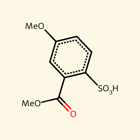 COC(=O)c1cc(OC)ccc1S(=O)(=O)O